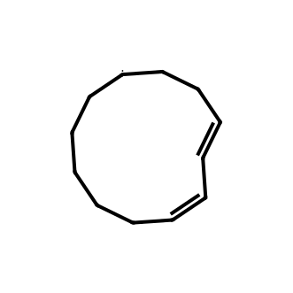 [CH]1CC/C=C/C=C\CCCCC1